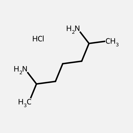 CC(N)CCCC(C)N.Cl